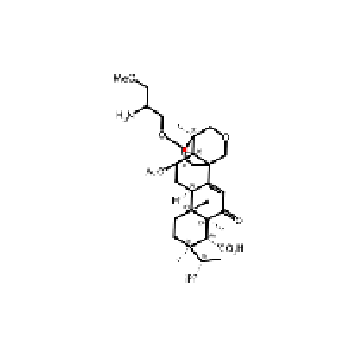 COCC(N)COC1[C@H](OC(C)=O)CC23COC[C@@]1(C)[C@@H]2CC[C@H]1C3=CC(=O)[C@@]2(C)[C@H](C(=O)O)[C@@](C)([C@H](C)C(C)C)CC[C@]12C